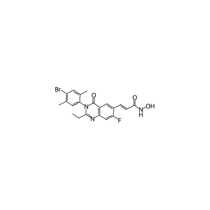 CCc1nc2cc(F)c(/C=C/C(=O)NO)cc2c(=O)n1-c1cc(C)c(Br)cc1C